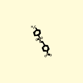 Cc1ccc(S(=O)(=O)N=Cc2ccc([N+](=O)[O-])cc2)cc1